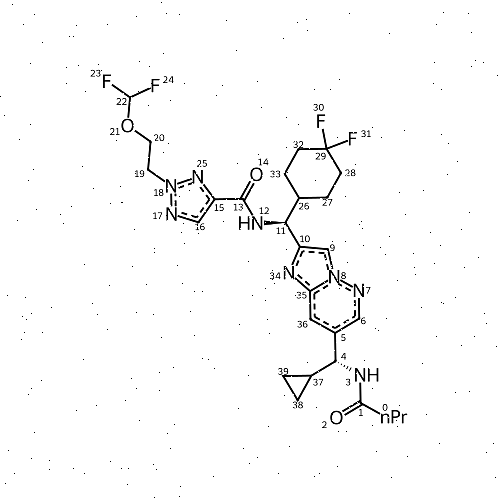 CCCC(=O)N[C@@H](c1cnn2cc([C@@H](NC(=O)c3cnn(CCOC(F)F)n3)C3CCC(F)(F)CC3)nc2c1)C1CC1